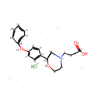 Cl.O=C(O)CCN1CCOC(c2ccc(Oc3ccccc3)cc2)C1